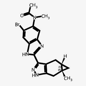 CC(=O)N(C)c1cc2nc(-c3n[nH]c4c3C[C@@H]3C[C@]3(C)C4)[nH]c2cc1Br